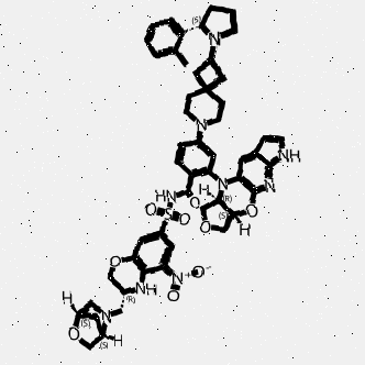 Cc1ccccc1[C@@H]1CCCN1C1CC2(CCN(c3ccc(C(=O)NS(=O)(=O)c4cc5c(c([N+](=O)[O-])c4)N[C@H](CN4C[C@@H]6C[C@H]4CO6)CO5)c(N4c5cc6cc[nH]c6nc5O[C@@H]5COC[C@H]54)c3)CC2)C1